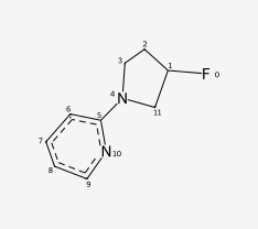 FC1CCN(c2[c]cccn2)C1